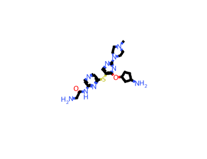 CN1CCN(c2ncc(Sc3cncc(NC(=O)CN)n3)c(OC3CCC(N)C3)n2)CC1